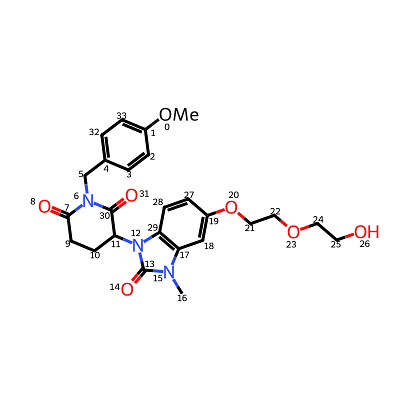 COc1ccc(CN2C(=O)CCC(n3c(=O)n(C)c4cc(OCCOCCO)ccc43)C2=O)cc1